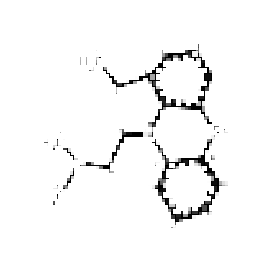 CCc1cccc2c1N(CCN(C)C)c1ccccc1S2